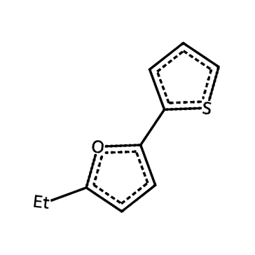 CCc1ccc(-c2cccs2)o1